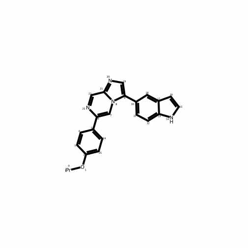 CC(C)Oc1ccc(-c2cn3c(-c4ccc5[nH]ccc5c4)cnc3cn2)cc1